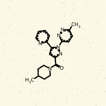 Cc1ccc(-n2nc(C(=O)N3CCC(C)CC3)cc2-c2ccccn2)nn1